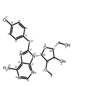 COC1C(O)[C@@H](CO)O[C@H]1n1c(Sc2ccc(Cl)cc2)nc2c(N)ncnc21